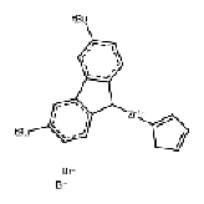 CC(C)(C)c1ccc2c(c1)-c1cc(C(C)(C)C)ccc1[CH]2[Zr+2][C]1=CC=CC1.[Br-].[Br-]